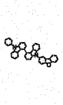 c1ccc(-n2c3ccccc3c3c(-c4cccc5c4c4ccccc4n5-c4ccc5oc6ccccc6c5c4)cccc32)cc1